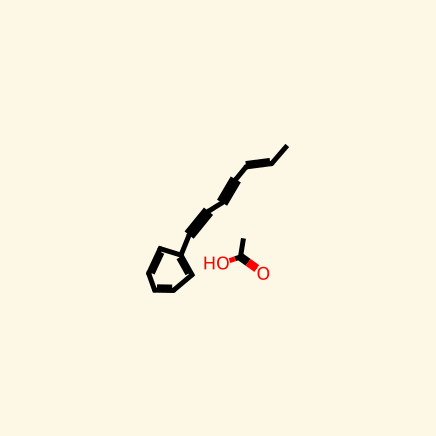 CC(=O)O.CC=CC#CC#Cc1ccccc1